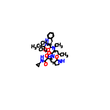 CCC[C@@H](C(=O)N[C@@H](C[C@@H]1CCNC1=O)C(=O)C(=O)NC1CC1)N(C)C(=O)[C@@H](Cc1ccccc1)NC(=O)C(C)(C)C